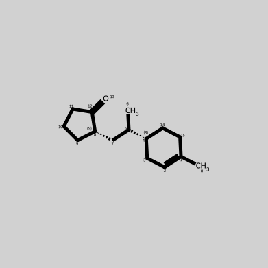 CC1=CC[C@H](C(C)C[C@@H]2CCCC2=O)CC1